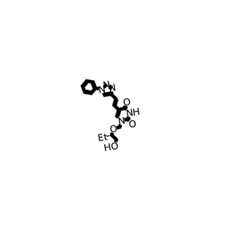 CC[C@@H](CO)OCn1cc(/C=C/c2cn(-c3ccccc3)nn2)c(=O)[nH]c1=O